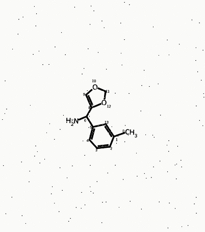 Cc1cccc(C(N)C2=COCO2)c1